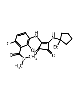 CCC1(Nc2c(Nc3ccc(Cl)c(C(=O)N(C)C)c3O)c(=O)c2=O)CCCC1